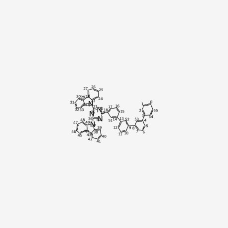 c1ccc(-c2cccc(-c3cccc(-c4cccc(-c5nc(-n6c7ccccc7c7ccccc76)nc(-n6c7ccccc7c7ccccc76)n5)c4)c3)c2)cc1